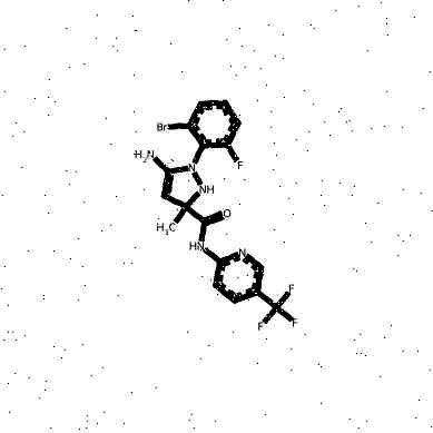 CC1(C(=O)Nc2ccc(C(F)(F)F)cn2)C=C(N)N(c2c(F)cccc2Br)N1